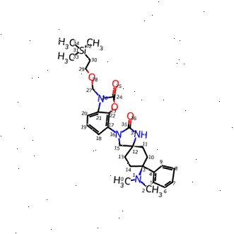 CN(C)[C@]1(c2ccccc2)CC[C@@]2(CC1)CN(c1cccc3c1oc(=O)n3COCC[Si](C)(C)C)C(=O)N2